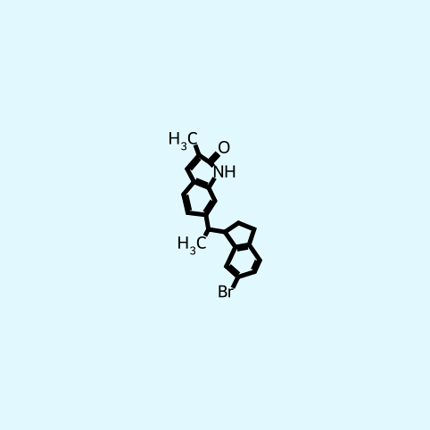 Cc1cc2ccc(C(C)C3CCc4ccc(Br)cc43)cc2[nH]c1=O